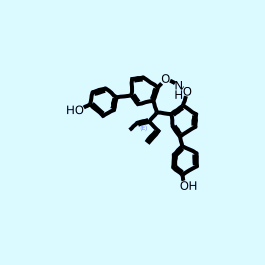 C=C/C(=C\C)C1c2cc(C3=C=C=C(O)C=C3)ccc2ONOc2ccc(-c3ccc(O)cc3)cc21